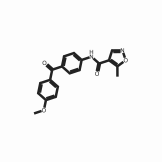 COc1ccc(C(=O)c2ccc(NC(=O)c3cnoc3C)cc2)cc1